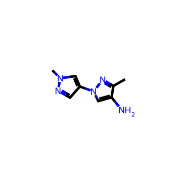 Cc1nn(-c2cnn(C)c2)cc1N